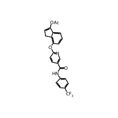 CC(=O)OC1=CCc2c(Oc3ccc(C(=O)Nc4ccc(C(F)(F)F)cc4)cn3)cccc21